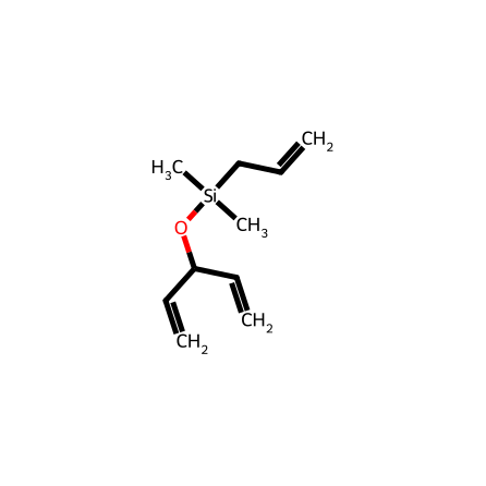 C=CC[Si](C)(C)OC(C=C)C=C